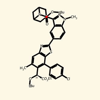 CCOC(=O)[C@@H](OC(C)(C)C)c1c(C)cc2nc(-c3ccc4c(c3)c(N3CC5CC(C3)N5C(=O)OC(C)(C)C)nn4C)sc2c1-c1ccc(Cl)cc1